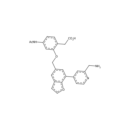 CC(=O)Nc1ccc(CC(=O)O)c(OCc2cc(-c3ccnc(CN)c3)c3occc3c2)c1